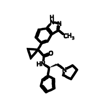 Cc1n[nH]c2ccc(C3(C(=O)N[C@H](CN4CCCC4)c4ccccc4)CC3)cc12